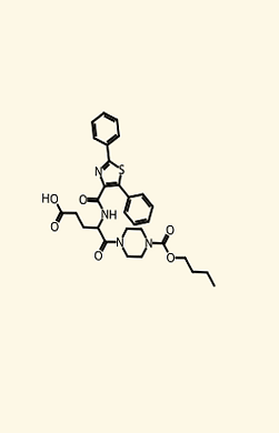 CCCCOC(=O)N1CCN(C(=O)C(CCC(=O)O)NC(=O)c2nc(-c3ccccc3)sc2-c2ccccc2)CC1